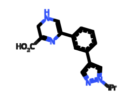 CC(C)n1cc(-c2cccc(C3=CNCC(C(=O)O)=N3)c2)cn1